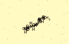 CS(=O)(=O)c1ccc(-c2cccc3nc(Nc4ccc(N5CCN(CC(=O)NCCNc6ccc7c(c6)C(=O)N(C6CCC(=O)NC6=O)C7=O)CC5)cc4)nn23)cc1